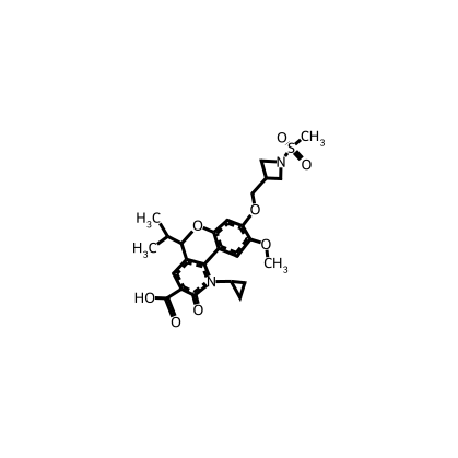 COc1cc2c(cc1OCC1CN(S(C)(=O)=O)C1)OC(C(C)C)c1cc(C(=O)O)c(=O)n(C3CC3)c1-2